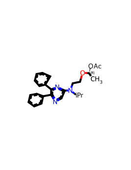 CC(=O)O[C@H](C)OCCN(c1cnc(-c2ccccc2)c(-c2ccccc2)n1)C(C)C